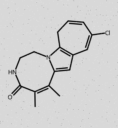 C/C1=C(\C)c2cc3c(n2CCNC1=O)CC=CC(Cl)=C3